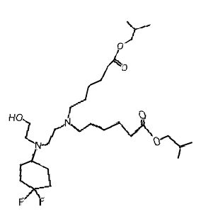 CC(C)COC(=O)CCCCCN(CCCCCC(=O)OCC(C)C)CCN(CCO)C1CCC(F)(F)CC1